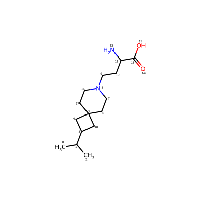 CC(C)C1CC2(CCN(CCC(N)C(=O)O)CC2)C1